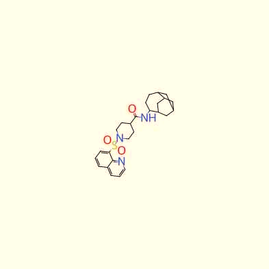 O=C(NC1CCC2CC3CC2CC1C3)C1CCN(S(=O)(=O)c2cccc3cccnc23)CC1